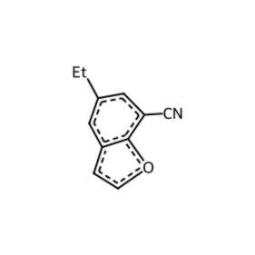 CCc1cc(C#N)c2occc2c1